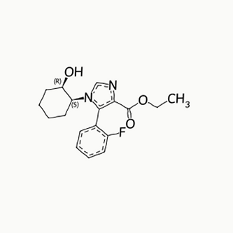 CCOC(=O)c1ncn([C@H]2CCCC[C@H]2O)c1-c1ccccc1F